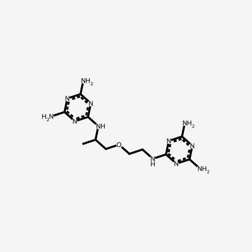 CC(COCCNc1nc(N)nc(N)n1)Nc1nc(N)nc(N)n1